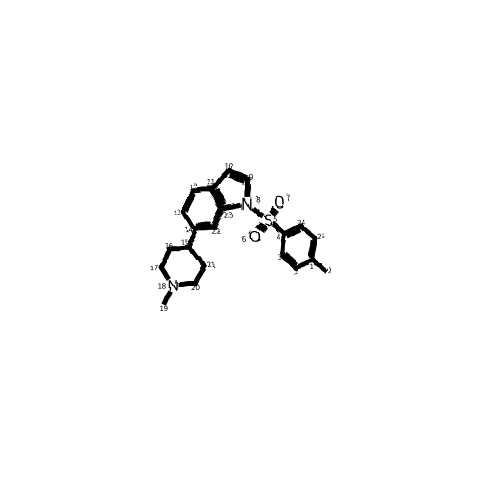 Cc1ccc(S(=O)(=O)n2ccc3ccc(C4CCN(C)CC4)cc32)cc1